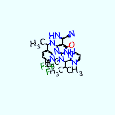 CC(Nc1nc(N(C)C(c2ncccn2)C(C)C)[nH]c(=O)c1C(=N)C#N)c1ccc(C(F)(F)F)nc1